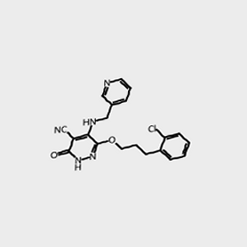 N#Cc1c(NCc2cccnc2)c(OCCCc2ccccc2Cl)n[nH]c1=O